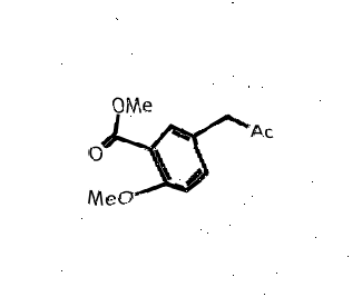 COC(=O)c1cc(CC(C)=O)ccc1OC